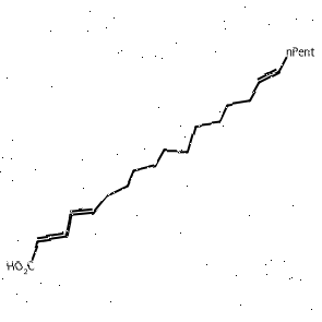 CCCCCC=CCCCCCCCCCCC=CC=CC(=O)O